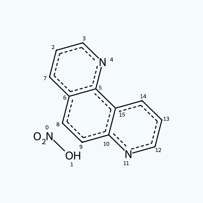 O=[N+]([O-])O.c1cnc2c(c1)ccc1ncccc12